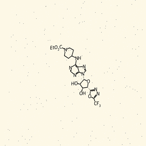 CCOC(=O)N1CCC(Nc2ncnc3c2ncn3[C@@H]2O[C@H](c3nnc(C(F)(F)F)o3)[C@@H](O)[C@H]2O)CC1